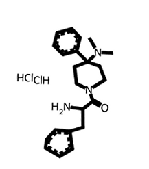 CN(C)C1(c2ccccc2)CCN(C(=O)C(N)Cc2ccccc2)CC1.Cl.Cl